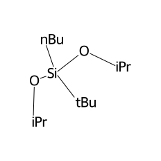 CCCC[Si](OC(C)C)(OC(C)C)C(C)(C)C